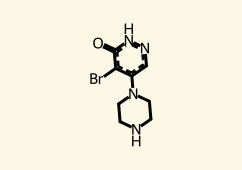 O=c1[nH]ncc(N2CCNCC2)c1Br